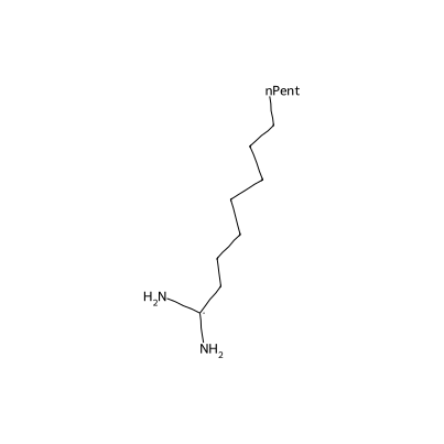 [CH2]CCCCCCCCCCC[C](N)N